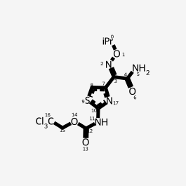 CC(C)ON=C(C(N)=O)c1csc(NC(=O)OCC(Cl)(Cl)Cl)n1